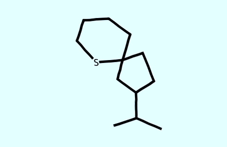 CC(C)C1CCC2(CCCCS2)C1